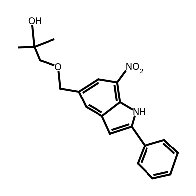 CC(C)(O)COCc1cc([N+](=O)[O-])c2[nH]c(-c3ccccc3)cc2c1